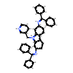 c1ccc(C(=Nc2ccc3c4ccc(N=C(c5ccccc5)c5ccccc5)cc4n(Cc4cccnc4)c3c2)c2ccccc2)cc1